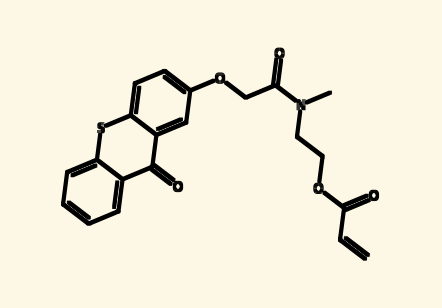 C=CC(=O)OCCN(C)C(=O)COc1ccc2sc3ccccc3c(=O)c2c1